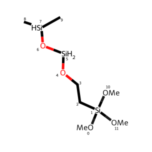 CO[Si](CCO[SiH2]O[SiH](C)C)(OC)OC